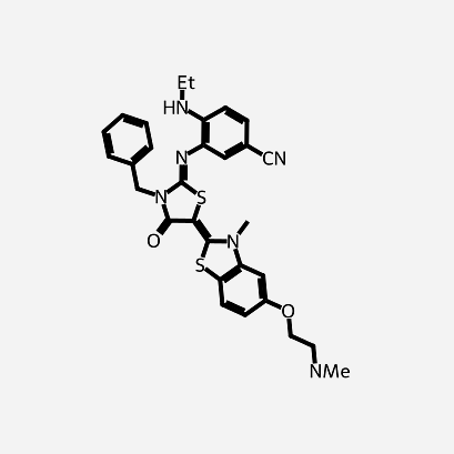 CCNc1ccc(C#N)cc1N=C1SC(=C2Sc3ccc(OCCNC)cc3N2C)C(=O)N1Cc1ccccc1